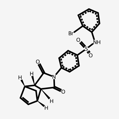 O=C1[C@@H]2[C@H](C(=O)N1c1ccc(S(=O)(=O)Nc3ccccc3Br)cc1)[C@@H]1C=C[C@H]2C1